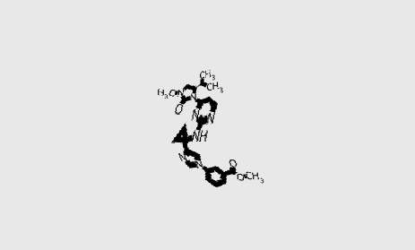 COC(=O)c1cccc(-n2cnc(C3(Nc4nccc(N5C(=O)N(C)C[C@@H]5C(C)C)n4)CC3)c2)c1